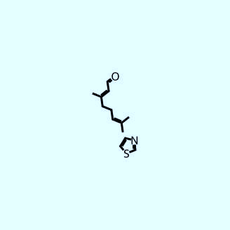 CC(C)=CCCC(C)=CC=O.c1cscn1